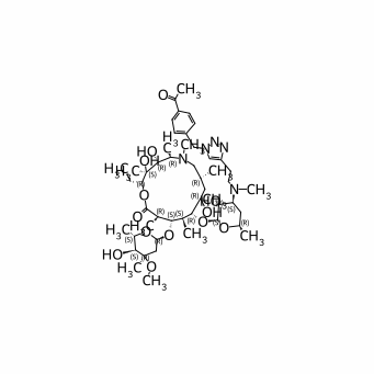 CC[C@H]1OC(=O)[C@H](C)[C@@H](O[C@H]2C[C@@](C)(OC)[C@@H](O)[C@H](C)O2)[C@H](C)[C@@H](O[C@@H]2O[C@H](C)C[C@H](N(C)CCc3cn(Cc4ccc(C(C)=O)cc4)nn3)[C@H]2O)[C@](C)(O)C[C@@H](C)CN(C)[C@H](C)[C@@H](O)[C@]1(C)O